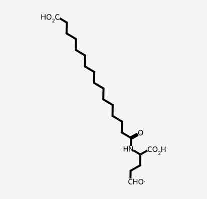 O=[C]CCC(NC(=O)CCCCCCCCCCCCCCC(=O)O)C(=O)O